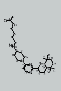 CC(=O)OCCCCNC1CCN(c2ccnc(C3CCC4C(C3)C(C)(C)CCC4(C)C)n2)CC1